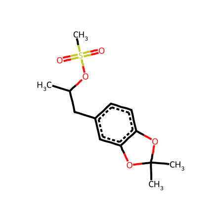 CC(Cc1ccc2c(c1)OC(C)(C)O2)OS(C)(=O)=O